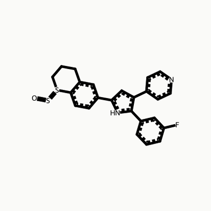 O=S=S1CCCc2cc(-c3cc(-c4ccncc4)c(-c4cccc(F)c4)[nH]3)ccc21